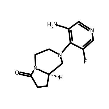 Nc1cncc(F)c1N1CCN2C(=O)CC[C@@H]2C1